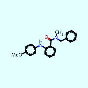 COc1ccc(Nc2ccccc2C(=O)N(C)Cc2ccccc2)cc1